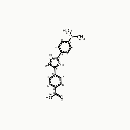 CN(C)c1ccc(-c2nc(-c3ccc(C(=O)O)cc3)no2)cc1